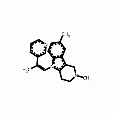 C/C(=C/n1c2c(c3cc(C)ccc31)CN(C)CC2)c1cccnc1